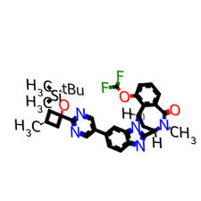 CN1C(=O)c2cccc(OC(F)F)c2[C@H]2C[C@@H]1c1nc3ccc(-c4cnc([C@]5(O[Si](C)(C)C(C)(C)C)C[C@H](C)C5)nc4)cc3n12